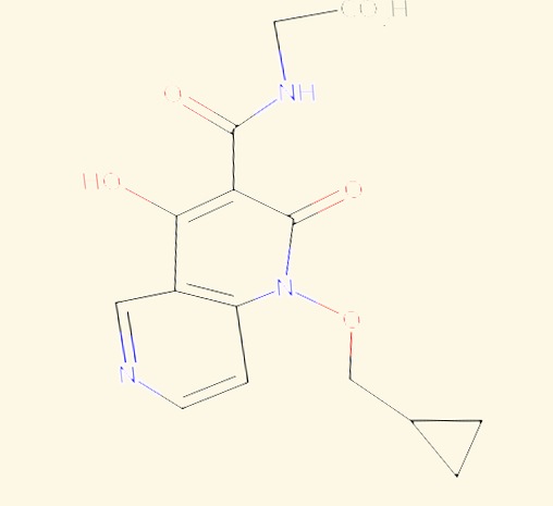 O=C(O)CNC(=O)c1c(O)c2cnccc2n(OCC2CC2)c1=O